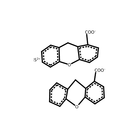 O=C([O-])c1cccc2c1Cc1ccccc1O2.O=C([O-])c1cccc2c1Cc1ccccc1O2.[S+2]